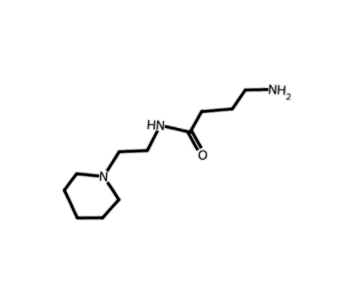 NCCCC(=O)NCCN1CCCCC1